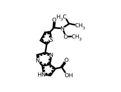 CON(C(=O)c1ccc(-c2cnc3[nH]cc(C(=O)O)c3n2)s1)C(C)C